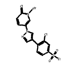 CCCn1cc(-n2cc(-c3ccc(S(=O)(=O)CC)cc3Cl)cn2)ccc1=O